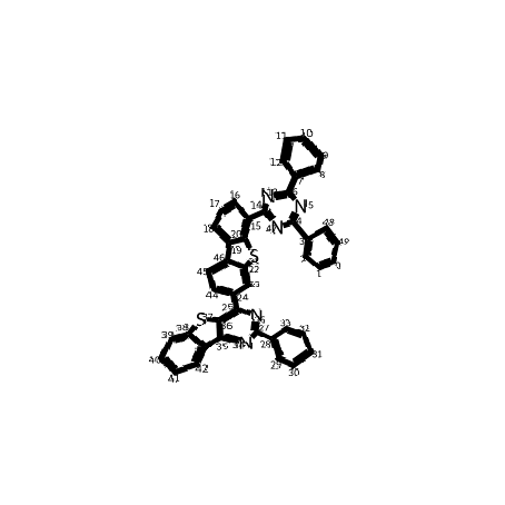 c1ccc(-c2nc(-c3ccccc3)nc(-c3cccc4c3sc3cc(-c5nc(-c6ccccc6)nc6c5sc5ccccc56)ccc34)n2)cc1